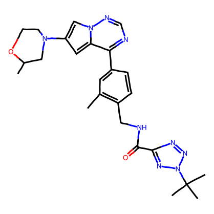 Cc1cc(-c2ncnn3cc(N4CCOC(C)C4)cc23)ccc1CNC(=O)c1nnn(C(C)(C)C)n1